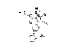 CCOC(=O)c1c(-c2ccc(-c3ccccc3C#N)cc2)c(C#N)c(Br)n1C